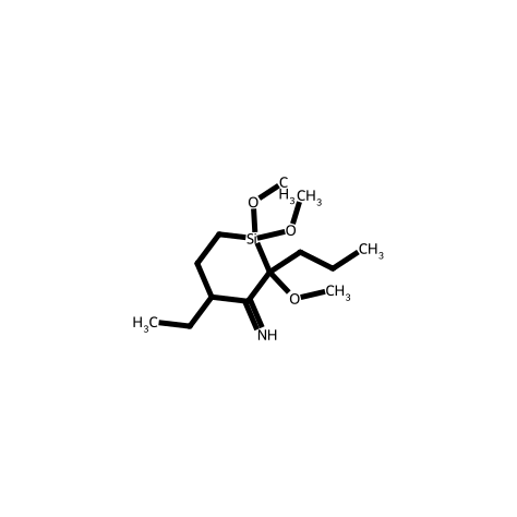 CCCC1(OC)C(=N)C(CC)CC[Si]1(OC)OC